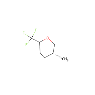 C[C@@H]1CCC(C(F)(F)F)OC1